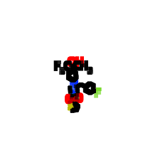 CC(O)(c1ccc(N2CCN(S(=O)(=O)c3cccs3)C[C@@H]2Cc2ccc(F)cc2)cc1)C(F)(F)F